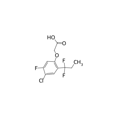 CCC(F)(F)c1cc(Cl)c(F)cc1OCC(=O)O